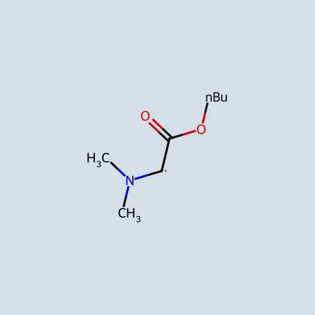 CCCCOC(=O)[CH]N(C)C